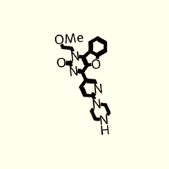 COCCn1c(=O)nc(-c2ccc(N3CCNCC3)nc2)c2oc3ccccc3c21